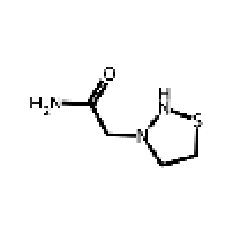 NC(=O)CN1CCSN1